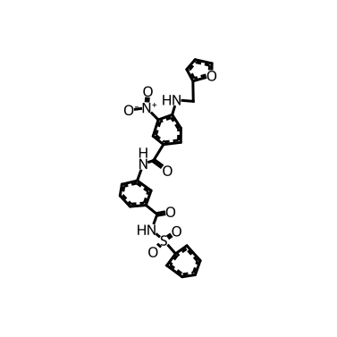 O=C(Nc1cccc(C(=O)NS(=O)(=O)c2ccccc2)c1)c1ccc(NCc2ccco2)c([N+](=O)[O-])c1